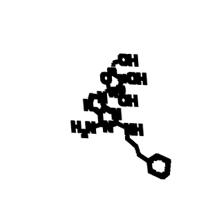 Nc1nc(NCCCc2ccccc2)nc2c1ncn2[C@@H]1O[C@H](CO)[C@@H](O)[C@H]1O